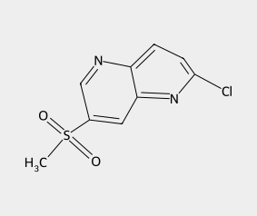 CS(=O)(=O)c1cnc2ccc(Cl)nc2c1